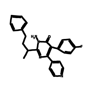 CC(CCc1ccccc1)c1nc(-c2ccncc2)c(-c2ccc(F)cc2)c(=O)n1N